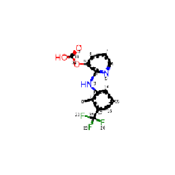 Cc1c(Nc2ncccc2OC(=O)O)cccc1C(F)(F)F